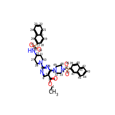 CCOC(=O)c1cnc(N2CCC(NS(=O)(=O)c3ccc4ccccc4c3)CC2)nc1N1CCN(S(=O)(=O)c2ccc3ccccc3c2)CC1